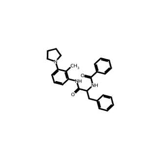 Cc1c(NC(=O)C(Cc2ccccc2)NC(=O)c2ccccc2)cccc1N1CCCC1